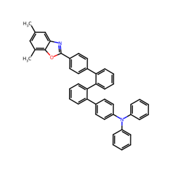 Cc1cc(C)c2oc(-c3ccc(-c4ccccc4-c4ccccc4-c4ccc(N(c5ccccc5)c5ccccc5)cc4)cc3)nc2c1